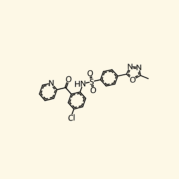 Cc1nnc(-c2ccc(S(=O)(=O)Nc3ccc(Cl)cc3C(=O)c3ccccn3)cc2)o1